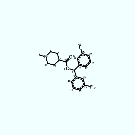 CN1CCC(C(=O)OC(c2cccc(F)c2)c2cccc(F)c2)CC1